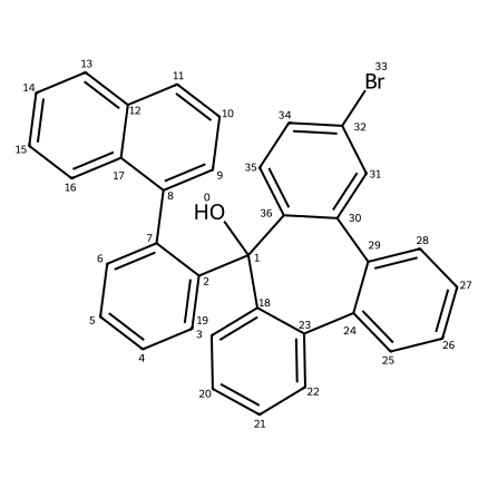 OC1(c2ccccc2-c2cccc3ccccc23)c2ccccc2-c2ccccc2-c2cc(Br)ccc21